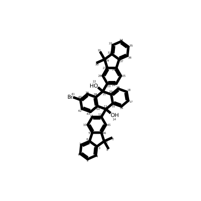 CC1(C)c2ccccc2-c2ccc(C3(O)c4ccccc4C(O)(c4ccc5c(c4)C(C)(C)c4ccccc4-5)c4cc(Br)ccc43)cc21